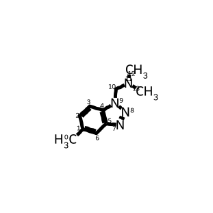 Cc1ccc2c(c1)nnn2CN(C)C